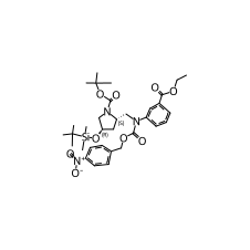 CCOC(=O)c1cccc(N(C[C@@H]2C[C@@H](O[Si](C)(C)C(C)(C)C)CN2C(=O)OC(C)(C)C)C(=O)OCc2ccc([N+](=O)[O-])cc2)c1